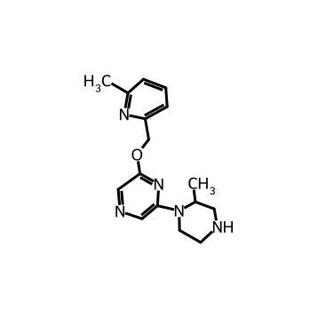 Cc1cccc(COc2cncc(N3CCNCC3C)n2)n1